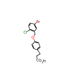 O=C(O)CCc1ccc(OCc2cc(Br)ccc2Cl)cc1